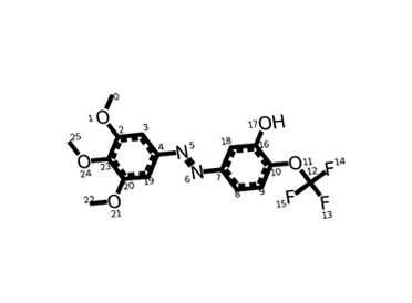 COc1cc(N=Nc2ccc(OC(F)(F)F)c(O)c2)cc(OC)c1OC